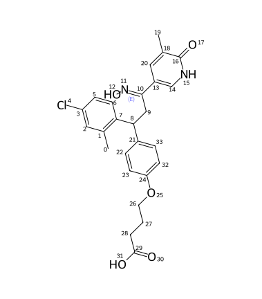 Cc1cc(Cl)ccc1C(C/C(=N\O)c1c[nH]c(=O)c(C)c1)c1ccc(OCCCC(=O)O)cc1